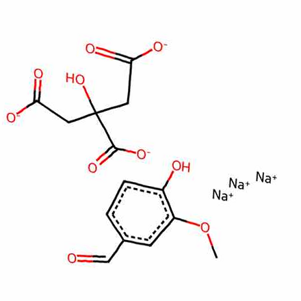 COc1cc(C=O)ccc1O.O=C([O-])CC(O)(CC(=O)[O-])C(=O)[O-].[Na+].[Na+].[Na+]